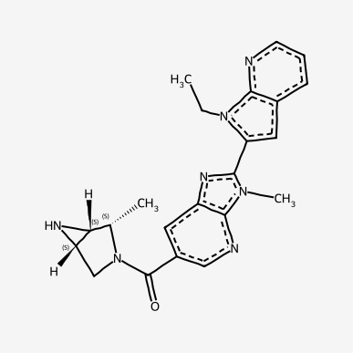 CCn1c(-c2nc3cc(C(=O)N4C[C@@H]5N[C@@H]5[C@@H]4C)cnc3n2C)cc2cccnc21